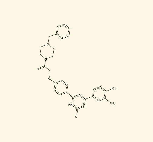 Cc1cc(-c2cc(-c3ccc(OCC(=O)N4CCN(Cc5ccccc5)CC4)cc3)[nH]c(=O)n2)ccc1O